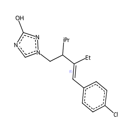 CC/C(=C\c1ccc(Cl)cc1)C(Cn1cnc(O)n1)C(C)C